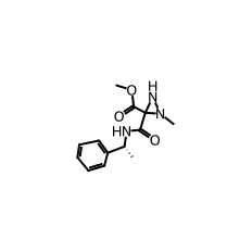 COC(=O)C1(C(=O)N[C@H](C)c2ccccc2)NN1C